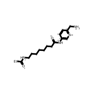 CCC(=O)NCCCCCCCC(=O)Nc1ccc(CN)nc1